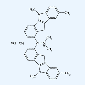 Cc1ccc2c(c1)c1c(n2C)-c2ccc[c]([Zr]([c]3cccc4c3Cc3c-4n(C)c4ccc(C)cc34)[SiH](C)C)c2C1.Cl.Cl